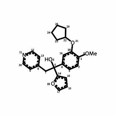 COc1ccc(C(O)(Cc2ccncc2)c2ccco2)cc1OC1CCCC1